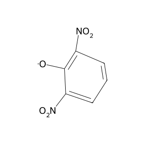 [O]c1c([N+](=O)[O-])cccc1[N+](=O)[O-]